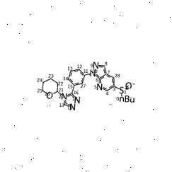 CCCC[S+]([O-])c1cnc2c(cnn2-c2cccc(-c3nncn3C3CCCCO3)c2)c1